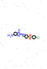 Nc1ccc2[nH]c(NCc3ccc(S(=O)(=O)c4ccc(Cl)cc4)cc3)nc2c1